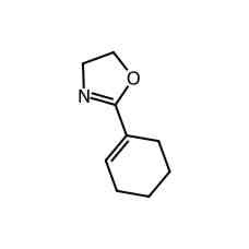 C1=C(C2=NCCO2)CCCC1